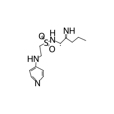 CCCC(=N)[CH]NS(=O)(=O)CCNc1ccncc1